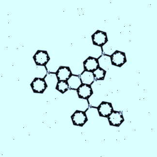 c1ccc(N(c2cc3c4c(c2)-n2ccc5c(N(c6ccccc6)c6ccccc6)ccc(c52)B4c2ccc(N(c4ccccc4)c4ccccc4)c4ccn-3c24)c2ccc3ncccc3c2)cc1